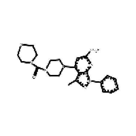 Cc1nn(-c2ccccc2)c2nc(C(=O)O)cc(N3CCN(C(=O)N4CCOCC4)CC3)c12